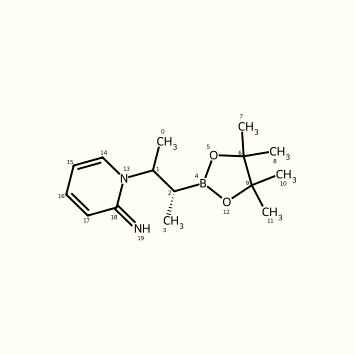 CC([C@@H](C)B1OC(C)(C)C(C)(C)O1)n1ccccc1=N